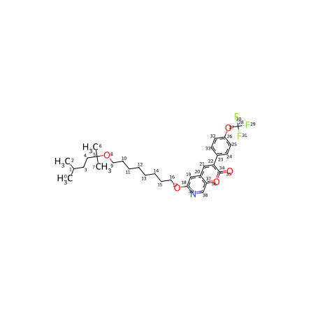 CC(C)CCC(C)(C)OCCCCCCCCOc1cc2cc(-c3ccc(OC(F)(F)F)cc3)c(=O)oc2cn1